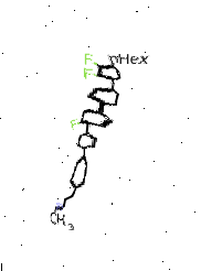 C/C=C/CCC1CCC(C2CC=C(c3ccc(-c4ccc(-c5ccc(CCCCCC)c(F)c5F)cc4)cc3F)CC2)CC1